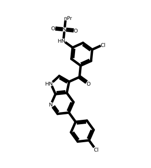 CCCS(=O)(=O)Nc1cc(Cl)cc(C(=O)c2c[nH]c3ncc(-c4ccc(Cl)cc4)cc23)c1